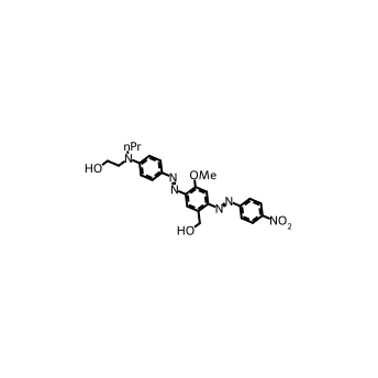 CCCN(CCO)c1ccc(/N=N/c2cc(CO)c(/N=N/c3ccc([N+](=O)[O-])cc3)cc2OC)cc1